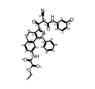 CCOC(=O)C(=O)Nc1ccc2c(c1)-c1c(c(C(=O)C(C#N)C(=O)Nc3cccc(Cl)c3)nn1-c1ccccc1)CS2